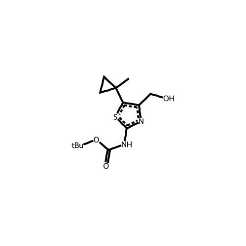 CC(C)(C)OC(=O)Nc1nc(CO)c(C2(C)CC2)s1